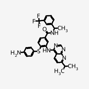 CC(C)c1ccc2c(Nc3cc(C(=O)NC(C)c4cccc(C(F)(F)F)c4)ccc3Sc3ccc(N)cc3)ncnc2n1